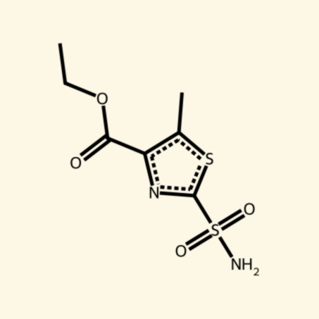 CCOC(=O)c1nc(S(N)(=O)=O)sc1C